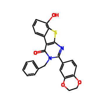 O=c1c2c(nc(-c3ccc4c(c3)OCCO4)n1Cc1ccccc1)sc1c(O)cccc12